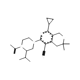 CC(=O)N1CCN(c2nc(C3CC3)c3c(c2C#N)CC(C)(C)OC3)CC1C(C)C